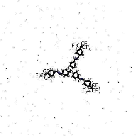 FC(F)(F)C(c1ccc(/C=C/c2ccc(N(c3ccc(/C=C/c4ccc(C(C(F)(F)F)(C(F)(F)F)C(F)(F)F)cc4)cc3)c3ccc(/C=C/c4ccc(C(C(F)(F)F)(C(F)(F)F)C(F)(F)F)cc4)cc3)cc2)cc1)(C(F)(F)F)C(F)(F)F